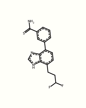 NC(=S)c1cccc(-c2ccc(CCC(F)F)c3[nH]cnc23)c1